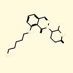 NCCCCCNc1cccc2cnn(C3CCC(=O)NC3O)c(=O)c12